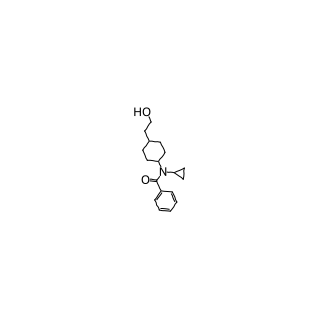 O=C(c1ccccc1)N(C1CCC(CCO)CC1)C1CC1